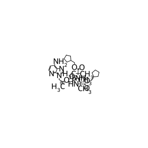 C[C@H](Cn1cnc2c(N)ccnc21)OCP(=O)(NC(C)(C)C(=O)OCC1CCCC1)NC(C)(C)C(=O)OCC1CCCC1